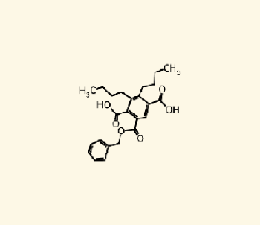 CCCCc1c(C(=O)O)cc(C(=O)OCc2ccccc2)c(C(=O)O)c1CCCC